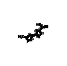 Cc1cnn(-c2nc(B(O)O)cs2)c1